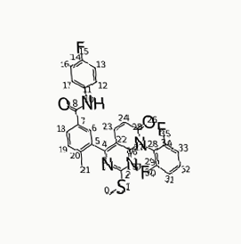 CSc1nc(-c2cc(C(=O)Nc3ccc(F)cc3)ccc2C)c2ccc(=O)n(-c3c(F)cccc3F)c2n1